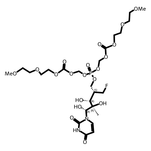 COCCOCCOC(=O)OCOP(=O)(OCOC(=O)OCCOCCOC)OC[C@H](CF)[C@@H](O)[C@@](C)(O)[C@@H](O)n1ccc(=O)[nH]c1=O